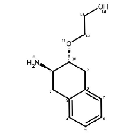 N[C@@H]1Cc2ccccc2C[C@H]1OCCO